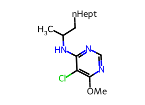 CCCCCCCCC(C)Nc1ncnc(OC)c1Cl